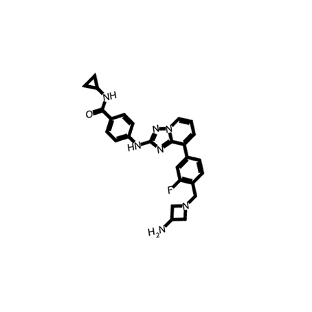 NC1CN(Cc2ccc(-c3cccn4nc(Nc5ccc(C(=O)NC6CC6)cc5)nc34)cc2F)C1